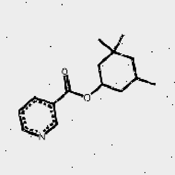 CC1CC(OC(=O)c2cccnc2)CC(C)(C)C1